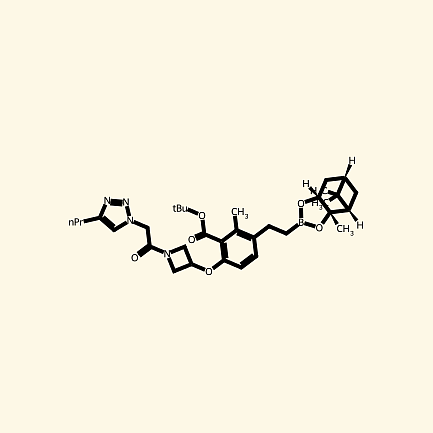 CCCc1cn(CC(=O)N2CC(Oc3ccc(CCB4O[C@@H]5C[C@@H]6C[C@@H](C6(C)C)[C@]5(C)O4)c(C)c3C(=O)OC(C)(C)C)C2)nn1